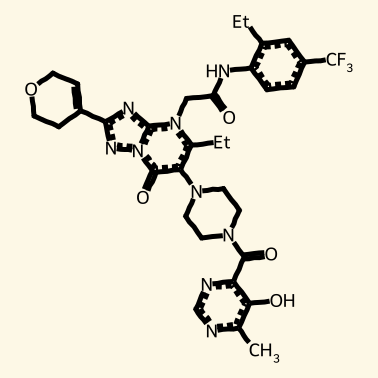 CCc1cc(C(F)(F)F)ccc1NC(=O)Cn1c(CC)c(N2CCN(C(=O)c3ncnc(C)c3O)CC2)c(=O)n2nc(C3=CCOCC3)nc12